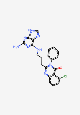 Nc1nc(NCCCc2nc3cccc(Cl)c3c(=O)n2-c2ccccc2)c2nc[nH]c2n1